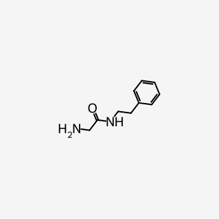 NCC(=O)NCCc1ccccc1